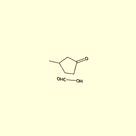 CC1CCC(=O)C1.O=CO